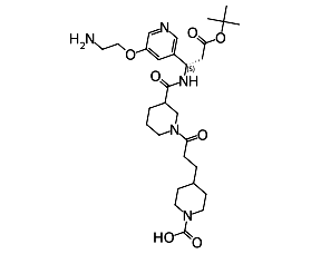 CC(C)(C)OC(=O)C[C@H](NC(=O)C1CCCN(C(=O)CCC2CCN(C(=O)O)CC2)C1)c1cncc(OCCN)c1